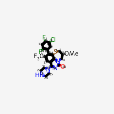 CO[C@H]1CSc2c(-c3cc(Cl)c(F)cc3F)c(C(F)(F)F)cc3c(N4CCNCC4)nc(=O)n(c23)C1